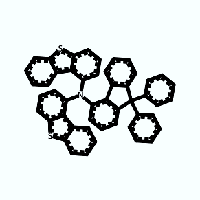 c1ccc(C2(c3ccccc3)c3ccccc3-c3c(N(c4cccc5sc6ccccc6c45)c4cccc5sc6ccccc6c45)cccc32)cc1